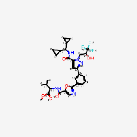 COC(=O)C(NC(=O)c1cnc(-c2cccc(-c3cc(C(=O)NC(C4CC4)C4CC4)n(CC(O)C(F)(F)F)n3)c2)o1)C(C)C